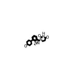 Cn1nc(N2CCC(=O)NC2=O)c2cccc(C3CCC(=O)CC3)c21